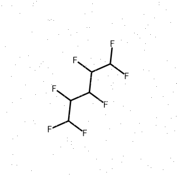 FC(F)C(F)C(F)C(F)C(F)F